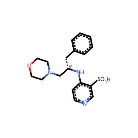 O=S(=O)(O)c1cnccc1N[C@@H](Cc1ccccc1)CN1CCOCC1